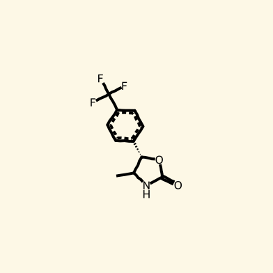 CC1NC(=O)O[C@H]1c1ccc(C(F)(F)F)cc1